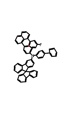 Fc1cccc(-c2cccc3cccc(-c4ccc(N(c5ccc(-c6ccccc6)cc5)c5ccc6c(c5)-c5ccccc5C65c6ccccc6-c6ccccc65)cc4)c23)c1